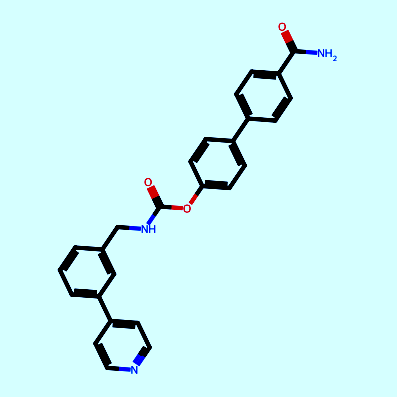 NC(=O)c1ccc(-c2ccc(OC(=O)NCc3cccc(-c4ccncc4)c3)cc2)cc1